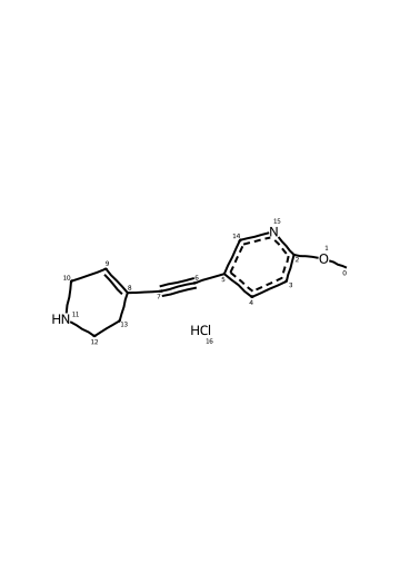 COc1ccc(C#CC2=CCNCC2)cn1.Cl